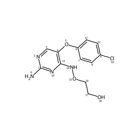 Nc1ncc(Oc2ccc(Cl)cc2)c(NOCCO)n1